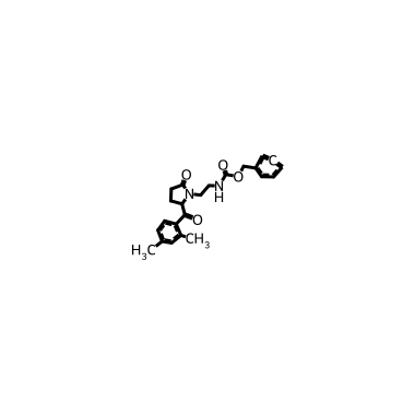 Cc1ccc(C(=O)C2CCC(=O)N2CCNC(=O)OCc2ccccc2)c(C)c1